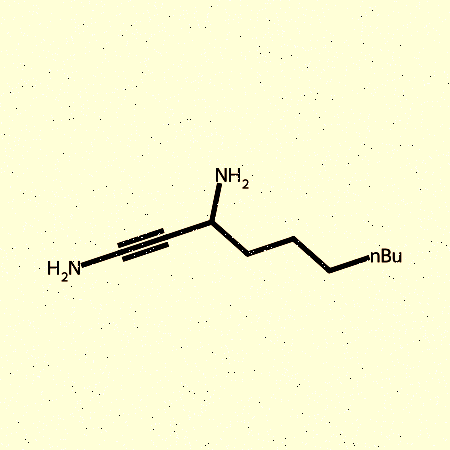 CCCCCCCC(N)C#CN